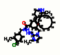 Cc1cc(CNC(=O)c2cc(Cn3ccn(C)c3=N)cc(C3CCNC(C)C34CCCCCCCCCC4)c2)ccc1Cl